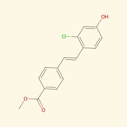 COC(=O)c1ccc(/C=C/c2ccc(O)cc2Cl)cc1